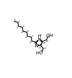 CCCCCCCCCc1nc(CO)c(CO)[nH]1